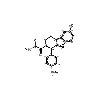 COC(=O)C(=O)N1CCc2c([nH]c3ccc(Cl)cc23)C1c1ccc(OC)cc1